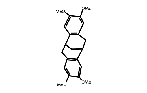 COc1cc2c(cc1OC)C1Cc3cc(OC)c(OC)cc3C(C2)C1